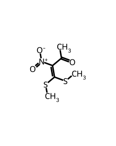 CSC(SC)=C(C(C)=O)[N+](=O)[O-]